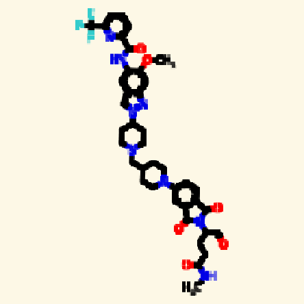 CNC(=O)CCC(C=O)N1C(=O)c2ccc(N3CCC(CN4CCC(n5cc6cc(NC(=O)c7cccc(C(F)(F)F)n7)c(OC)cc6n5)CC4)CC3)cc2C1=O